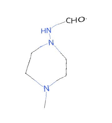 CN1CCN(N[C]=O)CC1